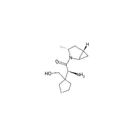 C[C@@H]1C[C@@H]2CC2N1C(=O)[C@@H](N)C1(CO)CCCC1